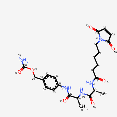 CC(C)[C@H](NC(=O)CCCCCN1C(=O)C=CC1=O)C(=O)N[C@@H](C)C(=O)Nc1ccc(COC(N)=O)cc1